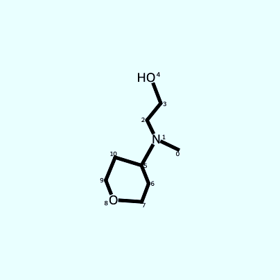 CN(CCO)C1CCOCC1